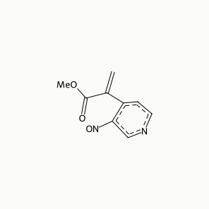 C=C(C(=O)OC)c1ccncc1N=O